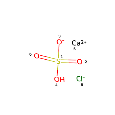 O=S(=O)([O-])O.[Ca+2].[Cl-]